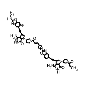 C=CC(=O)N1CC[C@H](n2cc(C#Cc3ccc4oc(N5CC(/C=C/C(=O)N6CC[C@H](n7cc(C#Cc8cc9nc(NC)oc9cc8F)c8c(N)n[nH]c(=O)c87)C6)C5)nc4c3)c3c(N)n[nH]c(=O)c32)C1